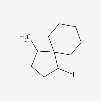 CC1CCC(I)C12CCCCC2